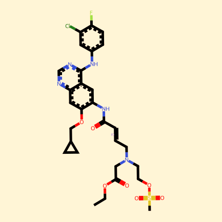 CCOC(=O)CN(C/C=C/C(=O)Nc1cc2c(Nc3ccc(F)c(Cl)c3)ncnc2cc1OCC1CC1)CCOS(C)(=O)=O